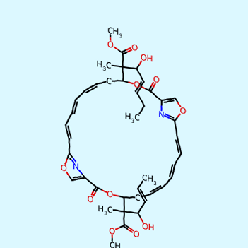 C/C=C/C(O)C(C)(C(=O)OC)C1C\C=C/C=C/C=C/c2nc(co2)C(=O)OC(C(C)(C(=O)OC)C(O)/C=C/CC)C\C=C/C=C/C=C/c2nc(co2)C(=O)O1